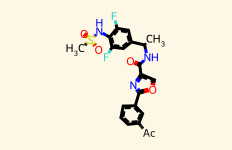 CC(=O)c1cccc(-c2nc(C(=O)N[C@H](C)c3cc(F)c(NS(C)(=O)=O)c(F)c3)co2)c1